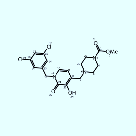 COC(=O)N1CCN(Cc2ccn(Cc3cc(Cl)cc(Cl)c3)c(=O)c2O)CC1